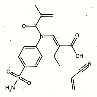 C=C(C)C(=O)N(C=C(CC)C(=O)O)c1ccc(S(N)(=O)=O)cc1.C=CC#N